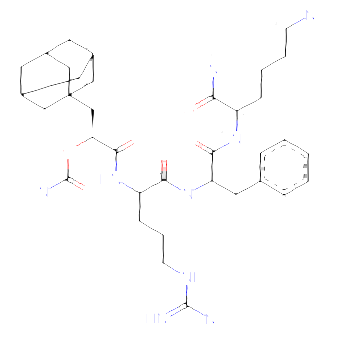 N=C(N)NCCCC(NC(=O)[C@H](CC12CC3CC(CC(C3)C1)C2)OC(N)=O)C(=O)NC(Cc1ccccc1)C(=O)NC(CCCCN)C(N)=O